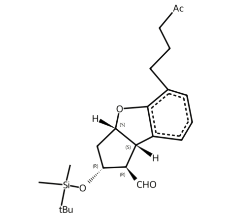 CC(=O)CCCc1cccc2c1O[C@H]1C[C@@H](O[Si](C)(C)C(C)(C)C)[C@H](C=O)[C@@H]21